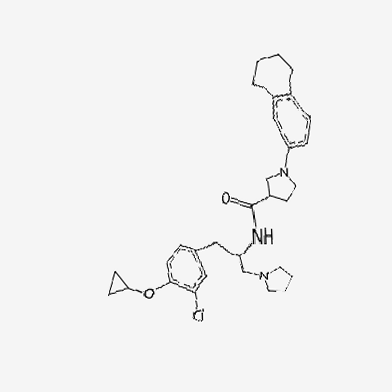 O=C(NC(Cc1ccc(OC2CC2)c(Cl)c1)CN1CCCC1)C1CCN(c2ccc3c(c2)CCCC3)C1